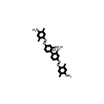 Cc1cc(N=Nc2ccc(-c3ccc(N=Nc4cc(C)c(N)cc4C)cc3S(=O)(=O)O)c(S(=O)(=O)O)c2)c(C)cc1N